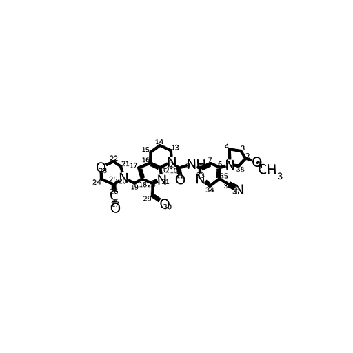 COC1CCN(c2cc(NC(=O)N3CCCc4cc(CN5CCOCC5=C=O)c(C=O)nc43)ncc2C#N)C1